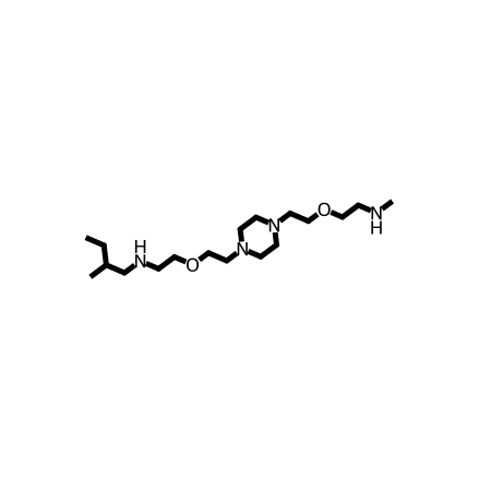 CCC(C)CNCCOCCN1CCN(CCOCCNC)CC1